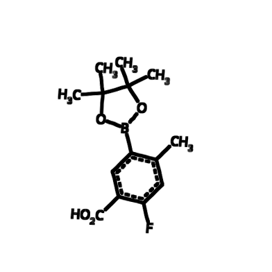 Cc1cc(F)c(C(=O)O)cc1B1OC(C)(C)C(C)(C)O1